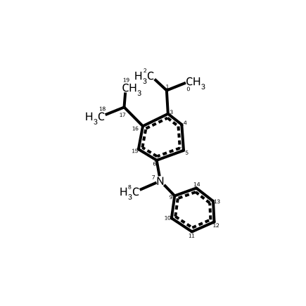 CC(C)c1ccc(N(C)c2ccccc2)cc1C(C)C